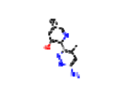 Cc1cc(N)nnc1-c1ncc(C(F)(F)F)cc1O